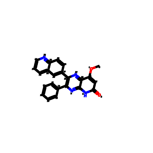 COc1cc(=O)[nH]c2nc(-c3ccccc3)c(-c3ccc4ncccc4c3)nc12